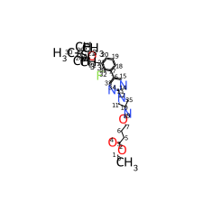 CCOC(=O)CCCON=C1CN(c2ncc(-c3cccc(CO[Si](C)(C)C(C)(C)C)c3F)cn2)C1